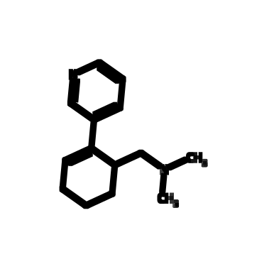 CN(C)CC1CCCC=C1c1cccnc1